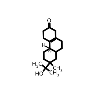 CC(C)(O)C1(C)CC[C@@H]2C3=C(CCC2C1)CC(=O)CC3